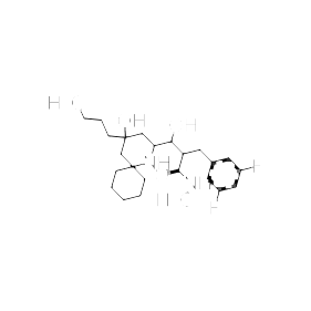 CCCCC1(O)CC(C(O)C(Cc2cc(F)cc(F)c2)C(=O)NC)NC2(CCCCC2)C1